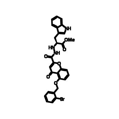 COC(=O)[C@H](Cc1c[nH]c2ccccc12)NNC(=O)c1cc(=O)c2c(OCc3ccccc3Br)cccc2o1